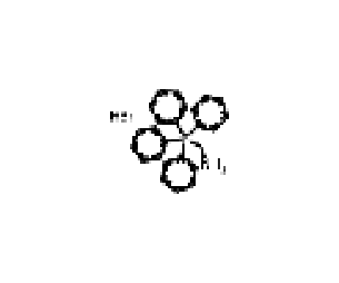 Br.NCP(c1ccccc1)(c1ccccc1)(c1ccccc1)c1ccccc1